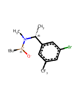 C[C@H](c1cc(Br)cc(C(F)(F)F)c1)N(C)[S@@+]([O-])C(C)(C)C